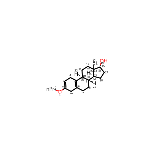 CCCOC1=CCC2=C(CC[C@@H]3[C@@H]2CC[C@]2(CC)[C@@H](O)CC[C@@H]32)C1